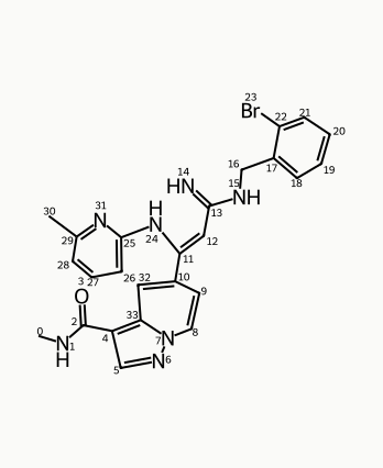 CNC(=O)c1cnn2ccc(/C(=C/C(=N)NCc3ccccc3Br)Nc3cccc(C)n3)cc12